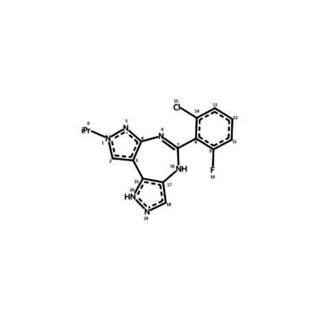 CC(C)n1cc2c(n1)N=C(c1c(F)cccc1Cl)Nc1cn[nH]c1-2